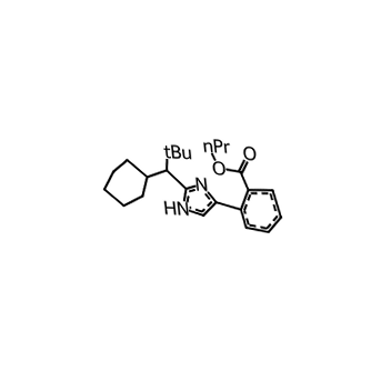 CCCOC(=O)c1ccccc1-c1c[nH]c(C(C2CCCCC2)C(C)(C)C)n1